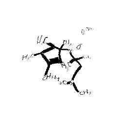 CC1=CC(C)([N-]C(C)(C)C=[Si](C)C)C(C)=C1C.[Cl-].[Cl-].[Ti+3]